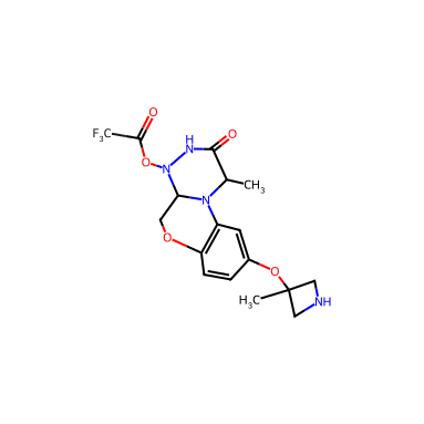 CC1C(=O)NN(OC(=O)C(F)(F)F)C2COc3ccc(OC4(C)CNC4)cc3N12